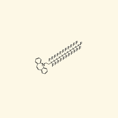 FC(F)(F)C(F)(F)C(F)(F)C(F)(F)C(F)(F)C(F)(F)C(F)(F)C(F)(F)C(F)(F)C(F)(F)C(F)(F)CCN1c2ccccc2C=Cc2ccccc21